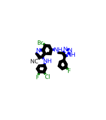 N#Cc1cnc2c(Br)cc(NCc3nn[nH]c3-c3cccc(F)c3)cc2c1Nc1ccc(F)c(Cl)c1